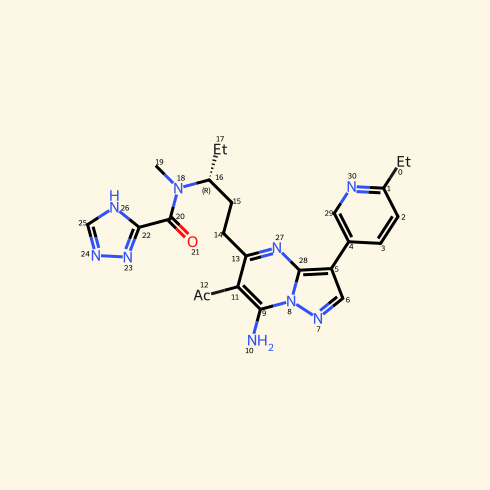 CCc1ccc(-c2cnn3c(N)c(C(C)=O)c(CC[C@@H](CC)N(C)C(=O)c4nnc[nH]4)nc23)cn1